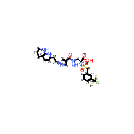 O=C(NC[C@H](NS(=O)(=O)Cc1cccc(C(F)(F)F)c1)C(=O)O)c1cnn(CCc2ccc3c(n2)NCCC3)c1